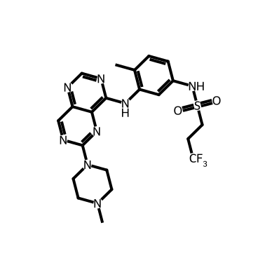 Cc1ccc(NS(=O)(=O)CCC(F)(F)F)cc1Nc1ncnc2cnc(N3CCN(C)CC3)nc12